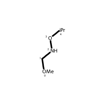 COCNOC(C)C